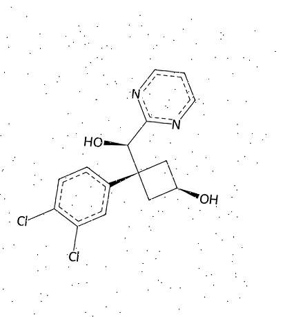 O[C@@H](c1ncccn1)[C@]1(c2ccc(Cl)c(Cl)c2)C[C@@H](O)C1